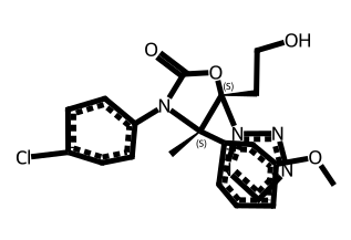 COc1cccc([C@]2(C)N(c3ccc(Cl)cc3)C(=O)O[C@]2(CCO)n2ncnn2)c1